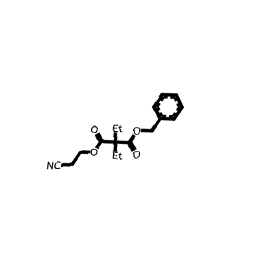 CCC(CC)(C(=O)OCCC#N)C(=O)OCc1ccccc1